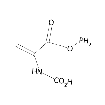 C=C(NC(=O)O)C(=O)OP